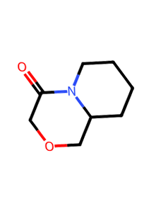 O=C1COCC2CCCCN12